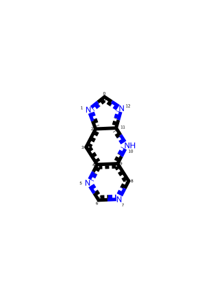 c1nc2cc3ncncc3[nH]c-2n1